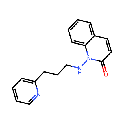 O=c1ccc2ccccc2n1NCCCc1ccccn1